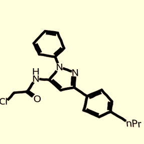 CCCc1ccc(-c2cc(NC(=O)CCl)n(-c3ccccc3)n2)cc1